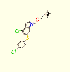 C[Si](C)(C)CCOCn1ccc2c(Cl)cc(Sc3ccc(Cl)cc3)cc21